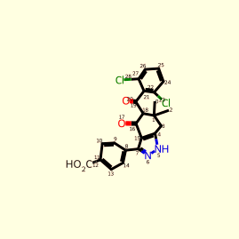 CC1(C)Cc2[nH]nc(-c3ccc(C(=O)O)cc3)c2C(=O)C1C(=O)c1c(Cl)cccc1Cl